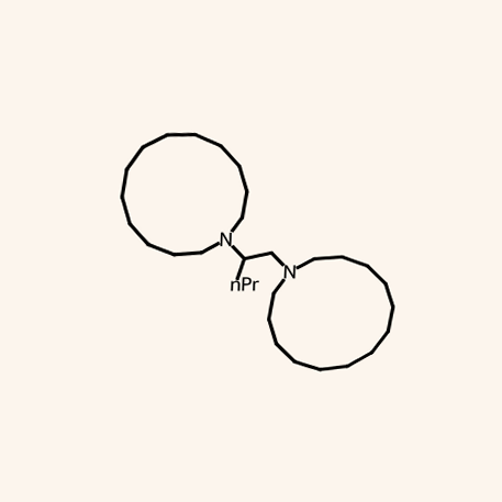 CCCC(CN1CCCCCCCCCCCCC1)N1CCCCCCCCCCCCC1